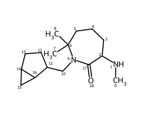 CNC1CCCC(C)(C)N(CC2CCC3CC32)C1=O